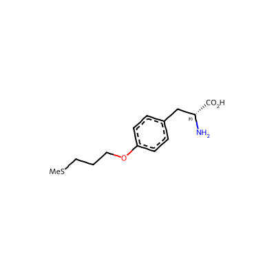 CSCCCOc1ccc(C[C@@H](N)C(=O)O)cc1